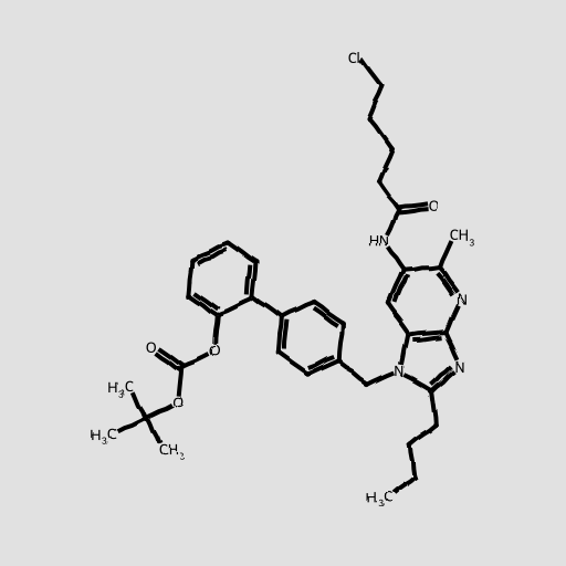 CCCCc1nc2nc(C)c(NC(=O)CCCCCl)cc2n1Cc1ccc(-c2ccccc2OC(=O)OC(C)(C)C)cc1